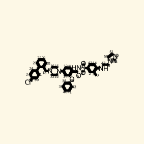 Cc1cc(S(=O)(=O)NC(=O)c2ccc(N3CCN(Cc4ccccc4-c4ccc(Cl)cc4)CC3)cc2Oc2ccccc2)ccc1NCCn1ccnn1